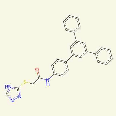 O=C(CSc1nnc[nH]1)Nc1ccc(-c2cc(-c3ccccc3)cc(-c3ccccc3)c2)cc1